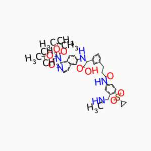 CNCc1cc(NC(=O)CCc2cccc(C(Nc3ccc4c(N(C(=O)OC(C)(C)C)C(=O)OC(C)(C)C)nccc4c3)C(=O)O)c2)ccc1S(=O)(=O)C1CC1